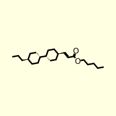 CCCCCOC(=O)C=C[C@H]1CC[C@H]([C@H]2CC[C@H](CCC)CC2)CC1